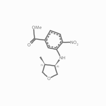 COC(=O)c1ccc([N+](=O)[O-])c(N[C@H]2COC[C@H]2C)c1